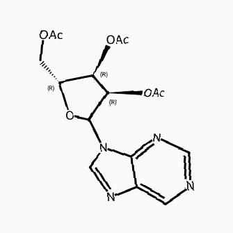 CC(=O)OC[C@H]1OC(n2cnc3cncnc32)[C@H](OC(C)=O)[C@@H]1OC(C)=O